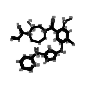 C=CC(=O)N1CCCN(C(=O)c2cc(Sc3cnc(Nc4ccccn4)s3)c(C)cc2OC)C[C@H]1C